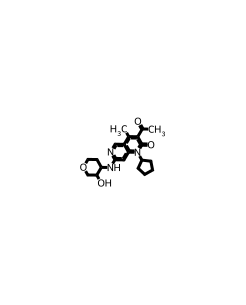 CC(=O)c1c(C)c2cnc(NC3CCOCC3O)cc2n(C2CCCC2)c1=O